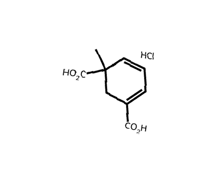 CC1(C(=O)O)C=CC=C(C(=O)O)C1.Cl